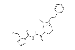 O=C(NNC(=O)n1ccnc1CO)C1CCC2CN1C(=O)N2OCc1ccccc1